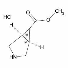 COC(=O)C1[C@H]2CNC[C@@H]12.Cl